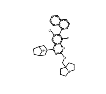 Fc1c(-c2cccc3ccccc23)c(Cl)cc2c(N3CC4CCC(C3)N4)nc(OCC34CCCN3CCC4)nc12